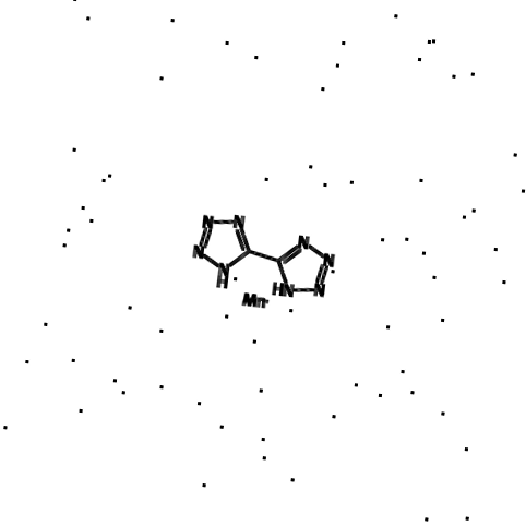 [Mn].n1n[nH]c(-c2nnn[nH]2)n1